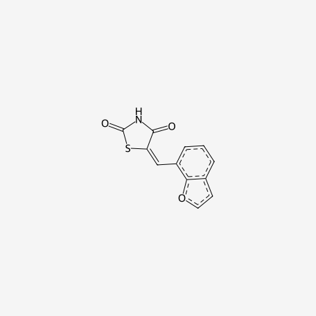 O=C1NC(=O)/C(=C\c2cccc3ccoc23)S1